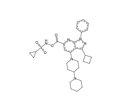 O=C(ONS(=O)(=O)C1CC1)c1cc(N2CCC(N3CCCCC3)CC2)c2c(C3CCC3)nn(-c3ccccc3)c2n1